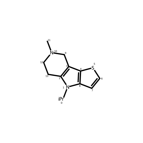 CC(C)n1c2c(c3sccc31)CN(C)CC2